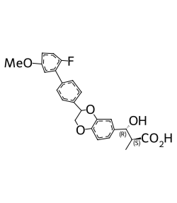 COc1ccc(F)c(-c2ccc(C3COc4ccc([C@H](O)[C@H](C)C(=O)O)cc4O3)cc2)c1